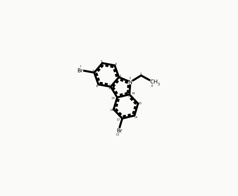 CCn1c2ccc(Br)cc2c2cc(Br)ccc21